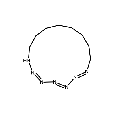 C1CCCCN\N=N/N=N/N=N/CCC1